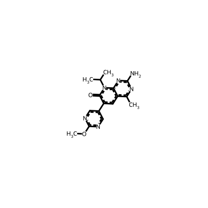 COc1ncc(-c2cc3c(C)nc(N)nc3n(C(C)C)c2=O)cn1